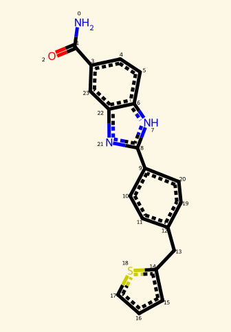 NC(=O)c1ccc2[nH]c(-c3ccc(Cc4cccs4)cc3)nc2c1